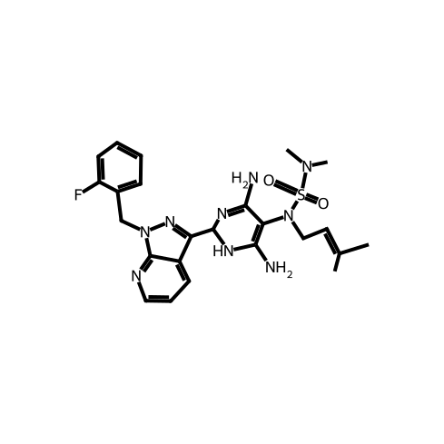 CC(C)=CCN(C1=C(N)NC(c2nn(Cc3ccccc3F)c3ncccc23)N=C1N)S(=O)(=O)N(C)C